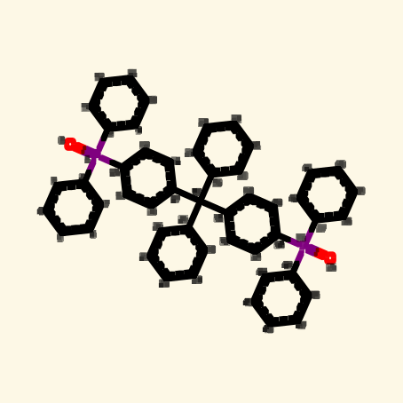 O=P(c1ccccc1)(c1ccccc1)c1ccc(C(c2ccccc2)(c2ccccc2)c2ccc(P(=O)(c3ccccc3)c3ccccc3)cc2)cc1